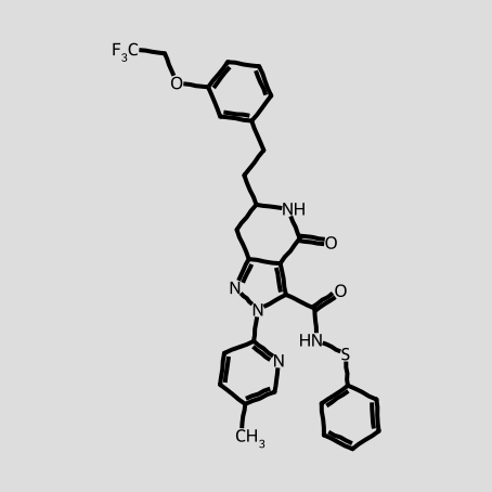 Cc1ccc(-n2nc3c(c2C(=O)NSc2ccccc2)C(=O)NC(CCc2cccc(OCC(F)(F)F)c2)C3)nc1